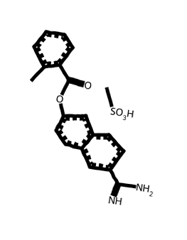 CS(=O)(=O)O.Cc1ccccc1C(=O)Oc1ccc2cc(C(=N)N)ccc2c1